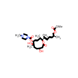 COC(=O)OC[C@@H](C)/C=C/C=C(\C)[C@H]1OC(=O)C[C@@H](O)CC[C@](C)(O)[C@@H](OC(=O)N2CCN(C)CC2)/C=C/[C@@H]1C